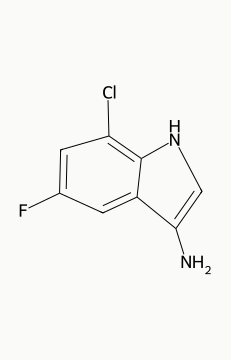 Nc1c[nH]c2c(Cl)cc(F)cc12